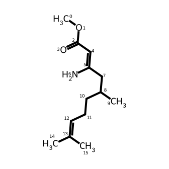 COC(=O)C=C(N)CC(C)CCC=C(C)C